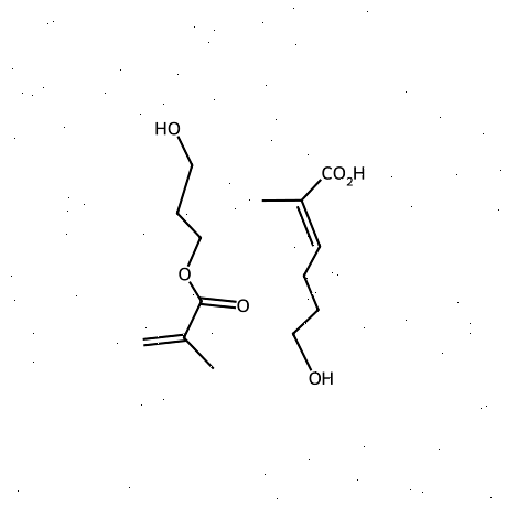 C=C(C)C(=O)OCCCO.CC(=CCCCO)C(=O)O